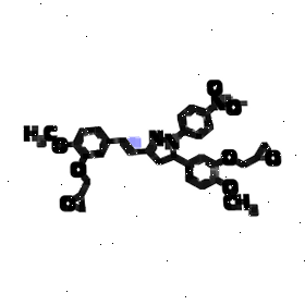 COc1ccc(/C=C/C2=NN(c3ccc([N+](=O)[O-])cc3)C(c3ccc(OC)c(OCC4CO4)c3)C2)cc1OCC1CO1